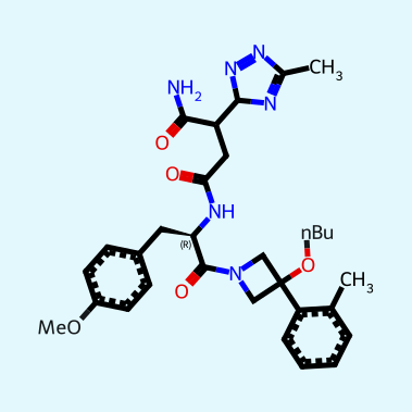 CCCCOC1(c2ccccc2C)CN(C(=O)[C@@H](Cc2ccc(OC)cc2)NC(=O)CC(C(N)=O)C2N=NC(C)=N2)C1